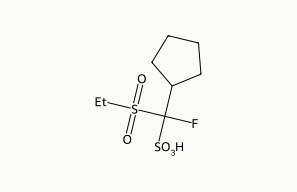 CCS(=O)(=O)C(F)(C1CCCC1)S(=O)(=O)O